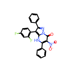 O=c1c([N+](=O)[O-])c(-c2ccccc2)[nH]c2c(-c3ccc(F)cc3F)c(-c3ccccc3)nn12